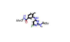 CONC(=O)c1ccc(C)c(Nc2cc(F)nc(N(C)CC(C)(C)C)n2)c1